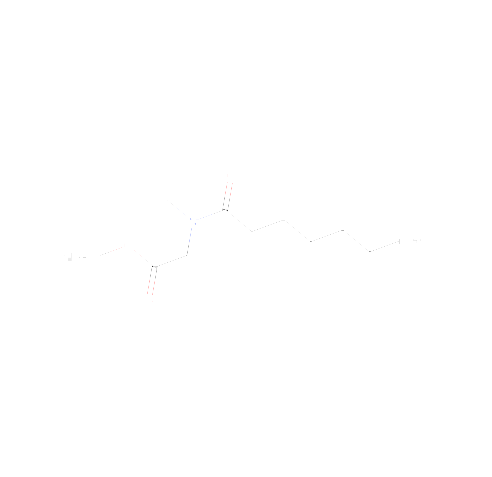 CCCCCCCCCCCCCCCC(=O)N(C)CC(=O)OCCCCC